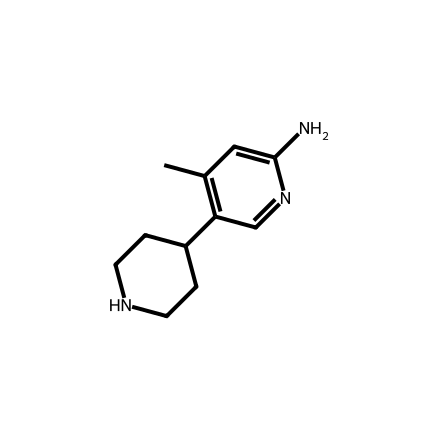 Cc1cc(N)ncc1C1CCNCC1